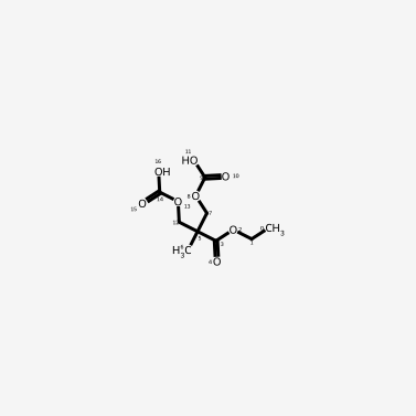 CCOC(=O)C(C)(COC(=O)O)COC(=O)O